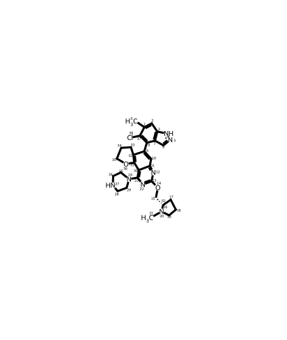 Cc1cc2[nH]ncc2c(-c2cc3nc(OC[C@@H]4CCCN4C)nc(N4CCNCC4)c3c3c2CCCO3)c1Cl